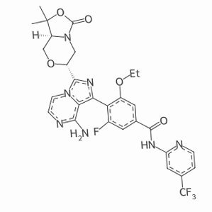 CCOc1cc(C(=O)Nc2cc(C(F)(F)F)ccn2)cc(F)c1-c1nc([C@H]2CN3C(=O)OC(C)(C)[C@@H]3CO2)n2ccnc(N)c12